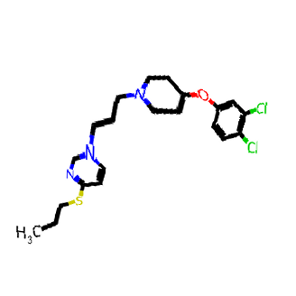 CCCSC1=NCN(CCCN2CCC(Oc3ccc(Cl)c(Cl)c3)CC2)C=C1